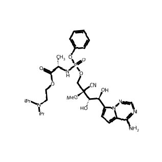 CO[C@](C#N)(COP(=O)(N[C@@H](C)C(=O)OCCN(C(C)C)C(C)C)Oc1ccccc1)[C@@H](O)[C@@H](O)c1ccc2c(N)ncnn12